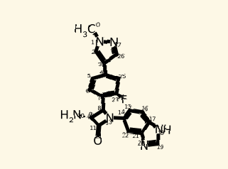 Cn1cc(-c2ccc(C3[C@@H](N)C(=O)N3c3ccc4[nH]cnc4c3)c(F)c2)cn1